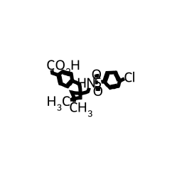 CC1(C)CC(CNS(=O)(=O)c2ccc(Cl)cc2)(Cc2ccc(CC(=O)O)cc2)C1